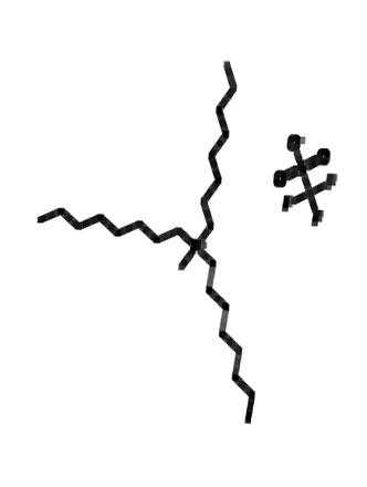 CCCCCCCC[P+](C)(CCCCCCCC)CCCCCCCC.O=S(=O)([O-])C(F)(F)F